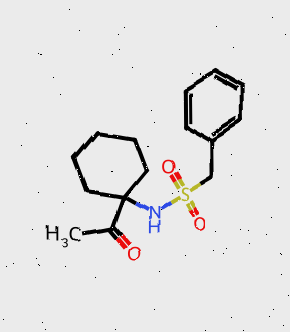 CC(=O)C1(NS(=O)(=O)Cc2ccccc2)CCCCC1